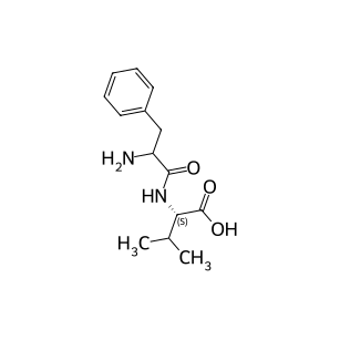 CC(C)[C@H](NC(=O)C(N)Cc1ccccc1)C(=O)O